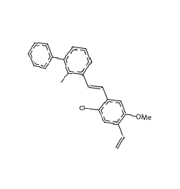 C=Cc1cc(Cl)c(/C=C/c2cccc(-c3ccccc3)c2C)cc1OC